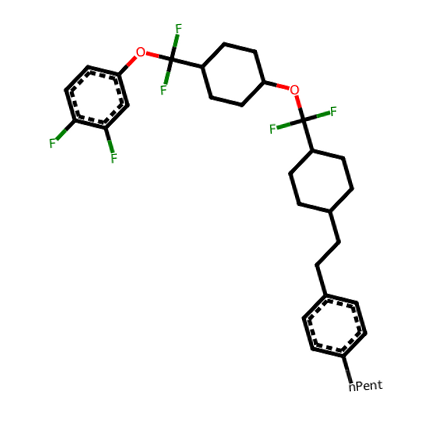 CCCCCc1ccc(CCC2CCC(C(F)(F)OC3CCC(C(F)(F)Oc4ccc(F)c(F)c4)CC3)CC2)cc1